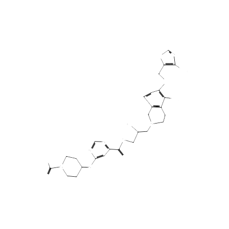 CC(=O)N1CCC(Nc2cc(C(=O)NCC(O)CN3CCc4c(ccc(OCc5ocnc5C)c4C)C3)ncn2)CC1